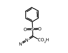 [N-]=[N+]=C(C(=O)O)S(=O)(=O)c1ccccc1